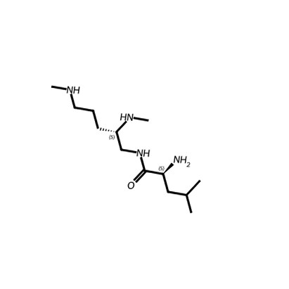 CNCCC[C@@H](CNC(=O)[C@@H](N)CC(C)C)NC